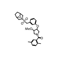 COC1CN(C(=O)c2cc(C)ccc2C)CC1Oc1cccc(CS(=O)(=O)N2CC3CCC(C2)O3)c1